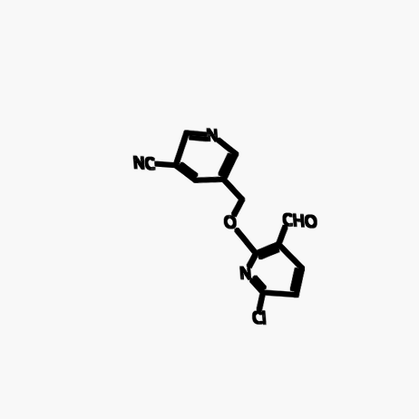 N#Cc1cncc(COc2nc(Cl)ccc2C=O)c1